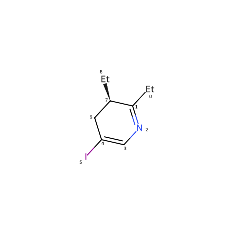 CCC1=NC=C(I)C[C@H]1CC